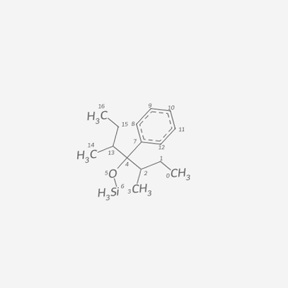 CCC(C)C(O[SiH3])(c1ccccc1)C(C)CC